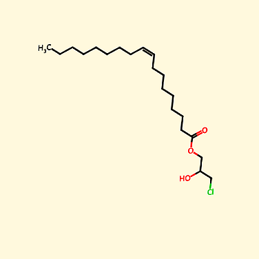 CCCCCCCC/C=C\CCCCCCCC(=O)OCC(O)CCl